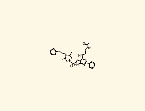 CC(=O)NCCNc1nc(-c2ccccc2)nc2[nH]c(C(=O)N3CC(C)N(CCCc4ccccc4)C(C)C3)cc12